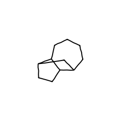 C1CCC2C3CCC2C(C1)C3